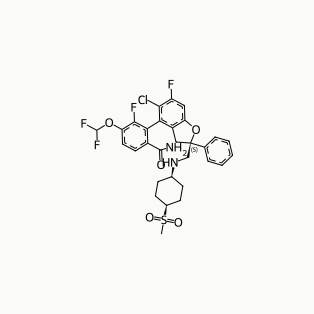 CS(=O)(=O)[C@H]1CC[C@@H](NC[C@@]2(c3ccccc3)Cc3c(cc(F)c(Cl)c3-c3c(C(N)=O)ccc(OC(F)F)c3F)O2)CC1